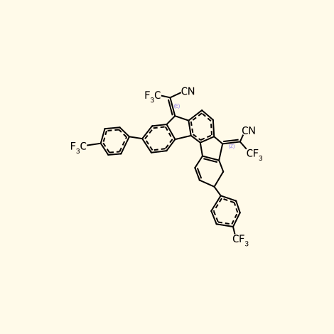 N#C/C(=C1/C2=C(C=CC(c3ccc(C(F)(F)F)cc3)C2)c2c1ccc1c2-c2ccc(-c3ccc(C(F)(F)F)cc3)cc2/C1=C(/C#N)C(F)(F)F)C(F)(F)F